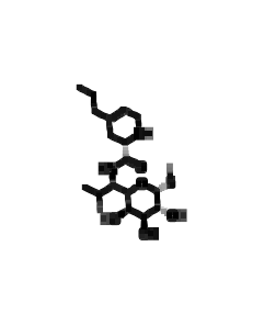 CCCC1=CCN[C@H](C(=O)N[C@H](C(C)C)C2O[C@H](SC)[C@H](O)[C@@H](O)[C@H]2O)C1